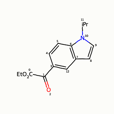 CCOC(=O)C(=O)c1ccc2c(ccn2C(C)C)c1